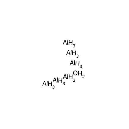 O.[AlH3].[AlH3].[AlH3].[AlH3].[AlH3].[AlH3]